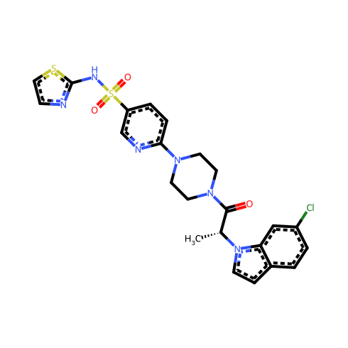 C[C@H](C(=O)N1CCN(c2ccc(S(=O)(=O)Nc3nccs3)cn2)CC1)n1ccc2ccc(Cl)cc21